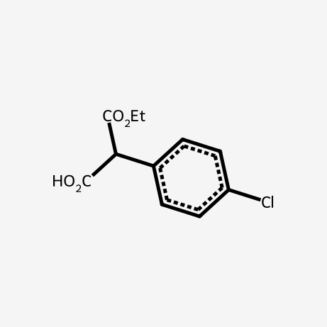 CCOC(=O)C(C(=O)O)c1ccc(Cl)cc1